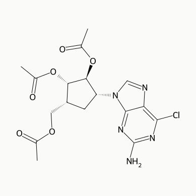 CC(=O)OC[C@H]1C[C@@H](n2cnc3c(Cl)nc(N)nc32)[C@H](OC(C)=O)[C@H]1OC(C)=O